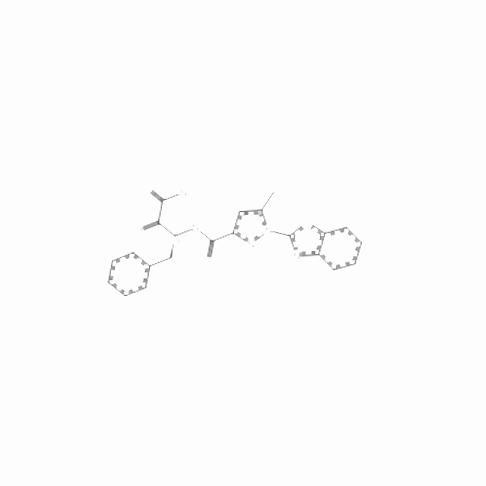 Cc1cc(C(=O)N[C@@H](Cc2ccccc2)C(=O)C(N)=O)nn1-c1nc2ccccc2o1